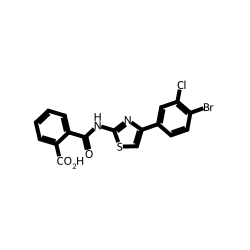 O=C(O)c1ccccc1C(=O)Nc1nc(-c2ccc(Br)c(Cl)c2)cs1